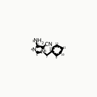 N#Cc1c(N)ncn1Cc1ccccc1